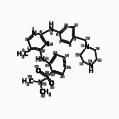 Cc1cnc(Nc2ccc(CN3CCNCC3)cc2)nc1Nc1ccccc1S(=O)(=O)N(C)C